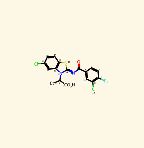 CCC(C(=O)O)n1c(=NC(=O)c2ccc(F)c(Cl)c2)sc2ccc(Cl)cc21